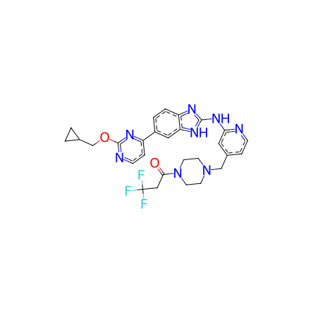 O=C(CC(F)(F)F)N1CCN(Cc2ccnc(Nc3nc4ccc(-c5ccnc(OCC6CC6)n5)cc4[nH]3)c2)CC1